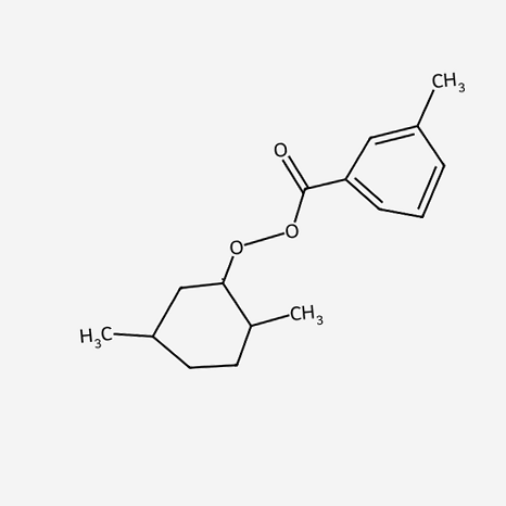 Cc1cccc(C(=O)OO[C]2CC(C)CCC2C)c1